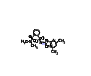 Cc1cc(C)n2o/c(=N/S(=O)(=O)c3ccccc3S(=O)(=O)N(C)C)nc2n1